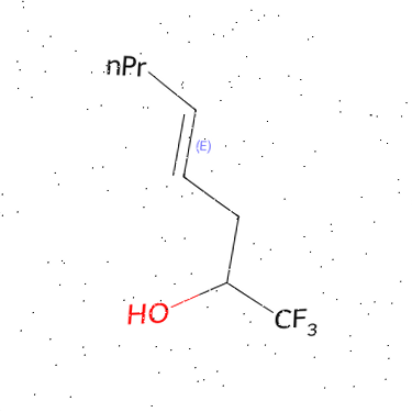 CCC/C=C/CC(O)C(F)(F)F